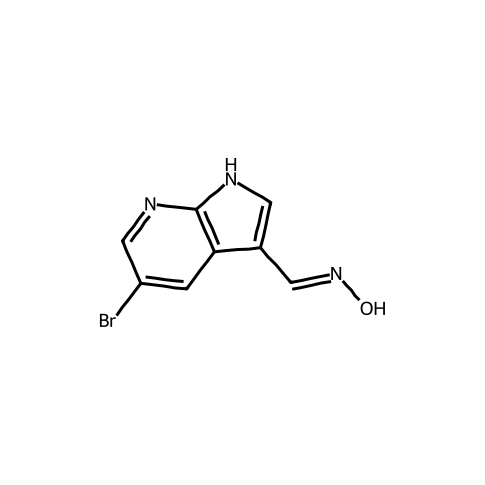 O/N=C/c1c[nH]c2ncc(Br)cc12